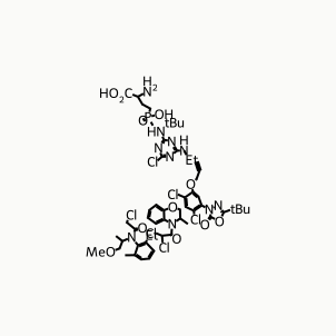 C#CCOc1cc(-n2nc(C(C)(C)C)oc2=O)c(Cl)cc1Cl.CC1COc2ccccc2N1C(=O)C(Cl)Cl.CCNc1nc(Cl)nc(NC(C)(C)C)n1.CCc1cccc(C)c1N(C(=O)CCl)C(C)COC.CP(=O)(O)CCC(N)C(=O)O